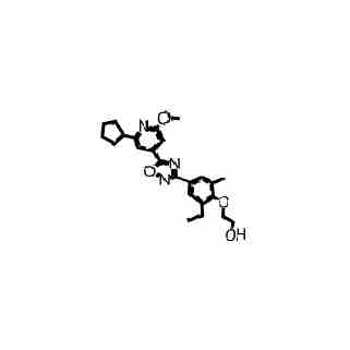 CCc1cc(-c2noc(-c3cc(OC)nc(C4CCCC4)c3)n2)cc(C)c1OCCO